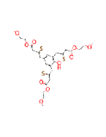 COCCOC(=O)CC(=S)Cc1cc(CC(=S)CC(=O)OCCOC)c(O)c(CC(=S)CC(=O)OCCOC)c1